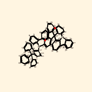 c1ccc(-c2ccccc2N(c2ccc3c(c2)-c2ccccc2C32c3ccccc3-n3c4ccccc4c4cccc2c43)c2cccc3c2-c2ccccc2C3(c2ccccc2)c2ccccc2)cc1